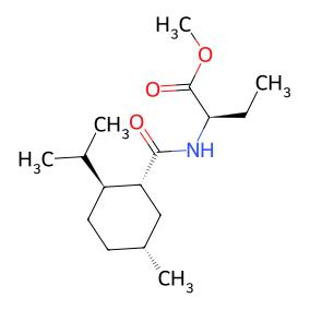 CC[C@@H](NC(=O)[C@@H]1C[C@H](C)CC[C@H]1C(C)C)C(=O)OC